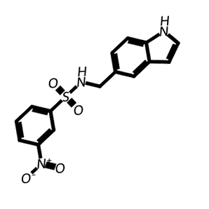 O=[N+]([O-])c1cccc(S(=O)(=O)NCc2ccc3[nH]ccc3c2)c1